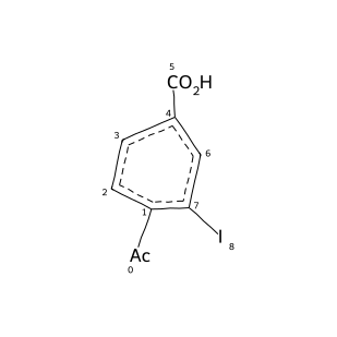 CC(=O)c1ccc(C(=O)O)cc1I